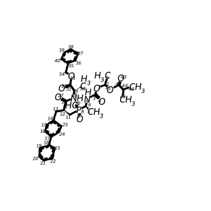 CC(OC(=O)N[C@@H](C)P(=O)(O)C[C@@H](Cc1ccc(-c2ccccc2)cc1)C(=O)N[C@@H](C)C(=O)OCc1ccccc1)OC(=O)C(C)C